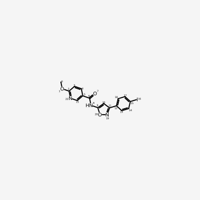 COc1ccc(C(=O)Nc2cc(-c3ccc(I)cc3)no2)cn1